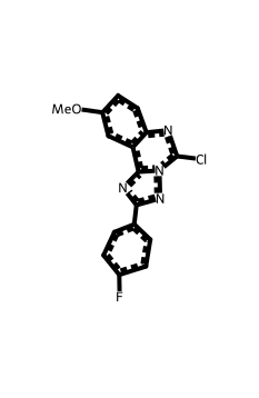 COc1ccc2nc(Cl)n3nc(-c4ccc(F)cc4)nc3c2c1